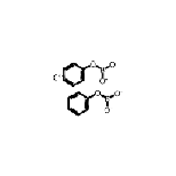 [C+4].[O-]B([O-])Oc1ccccc1.[O-]B([O-])Oc1ccccc1